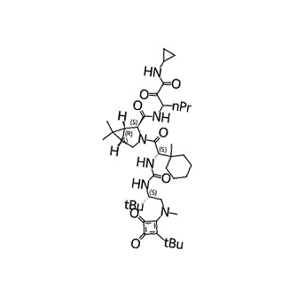 CCCC(NC(=O)[C@@H]1[C@@H]2[C@H](CN1C(=O)[C@@H](NC(=O)N[C@H](CN(C)c1c(C(C)(C)C)c(=O)c1=O)C(C)(C)C)C1(C)CCCCC1)C2(C)C)C(=O)C(=O)NC1CC1